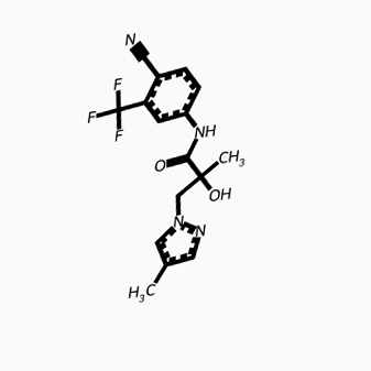 Cc1cnn(CC(C)(O)C(=O)Nc2ccc(C#N)c(C(F)(F)F)c2)c1